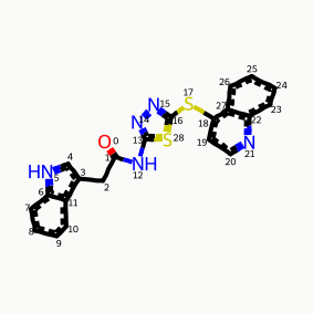 O=C(Cc1c[nH]c2ccccc12)Nc1nnc(Sc2ccnc3ccccc23)s1